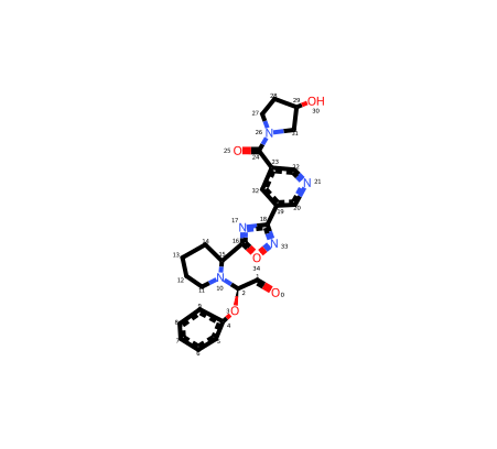 O=C[C@@H](Oc1ccccc1)N1CCCCC1c1nc(-c2cncc(C(=O)N3CCC(O)C3)c2)no1